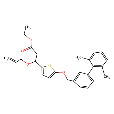 C=CCOC(CC(=O)OCC)c1ccc(OCc2cccc(-c3c(C)cccc3C)c2)s1